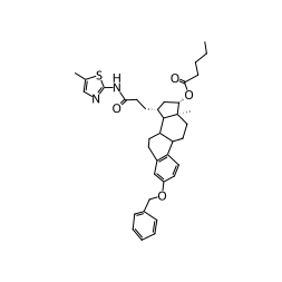 CCCCC(=O)O[C@H]1C[C@@H](CCC(=O)Nc2ncc(C)s2)C2C3CCc4cc(OCc5ccccc5)ccc4C3CC[C@@]21C